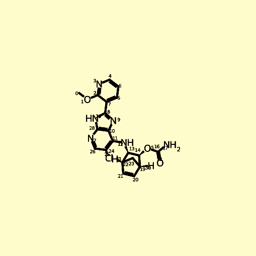 COc1ncccc1-c1nc2c(N[C@H]3[C@@H](OC(N)=O)[C@@H]4C=C[C@H]3C4)c(Cl)cnc2[nH]1